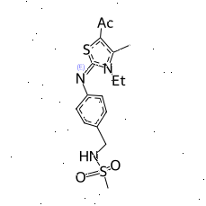 CCn1c(C)c(C(C)=O)s/c1=N/c1ccc(CNS(C)(=O)=O)cc1